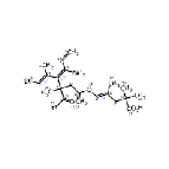 C=N/C(N)=C(\C(C)=C\CC)C(C)(CC(=C)O/C=C(\C)CC(C)(C)C(=O)O)C(=O)CC